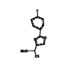 COC(C#N)c1coc(-c2ccc(F)cc2)n1